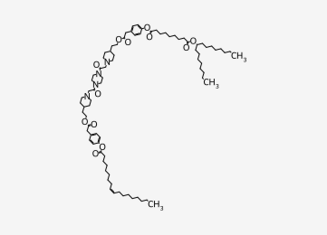 CCCCCCCC/C=C\CCCCCCCC(=O)Oc1ccc(CC(=O)OCCC2CCN(CC(=O)N3CCN(C(=O)CN4CCC(CCOC(=O)Cc5ccc(OC(=O)CCCCCCCC(=O)OC(CCCCCCCC)CCCCCCCC)cc5)CC4)CC3)CC2)cc1